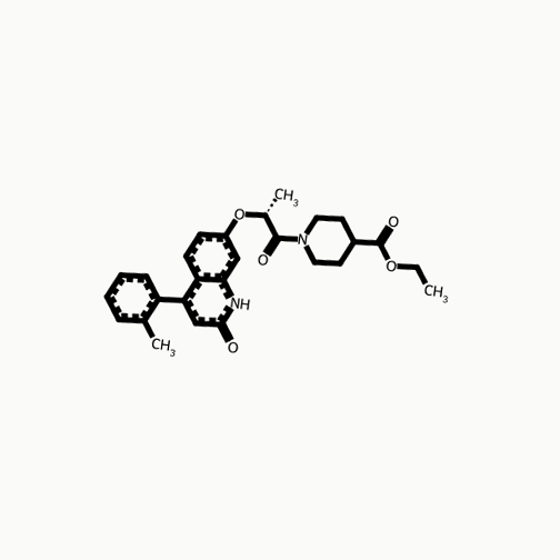 CCOC(=O)C1CCN(C(=O)[C@@H](C)Oc2ccc3c(-c4ccccc4C)cc(=O)[nH]c3c2)CC1